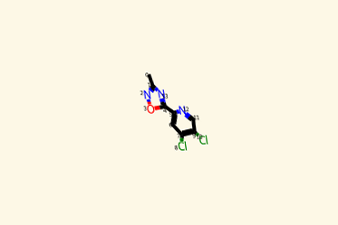 Cc1noc(-c2cc(Cl)c(Cl)cn2)n1